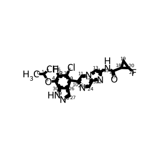 CC(C)Oc1c(F)c(Cl)c(-c2cn3cc(NC(=O)C4CC4F)nc3cn2)c2cn[nH]c12